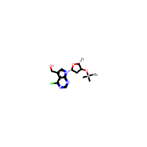 CC[C@H]1O[C@@H](n2cc(CO)c3c(Cl)ncnc32)CC1O[Si](C)(C)C(C)(C)C